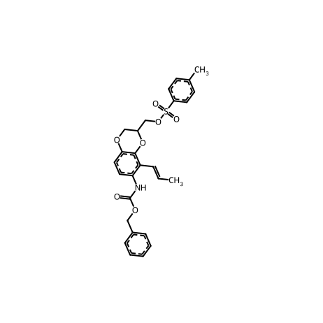 CC=Cc1c(NC(=O)OCc2ccccc2)ccc2c1OC(COS(=O)(=O)c1ccc(C)cc1)CO2